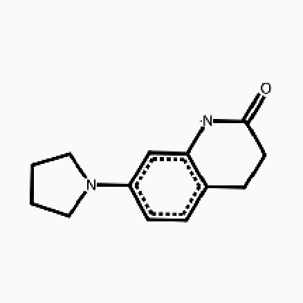 O=C1CCc2ccc(N3CCCC3)cc2[N]1